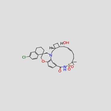 CC1(C)CC/C=C\[C@@H](O)[C@@H]2CC[C@H]2CN2C[C@@]3(CCCc4cc(Cl)ccc43)COc3ccc(cc32)C(=O)NS1(=O)=O